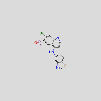 CP(C)(=O)c1cc2c(Nc3ccc4scnc4c3)ccnc2cc1Br